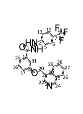 O=C(NNc1ccc(C(F)(F)F)cc1)c1cccc(OCc2cncc3ccccc23)c1